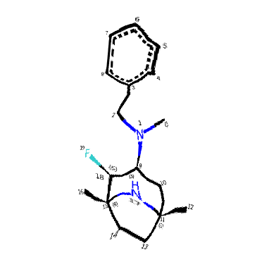 CN(Cc1ccccc1)[C@H]1C[C@]2(C)CC[C@@](C)(N2)[C@H]1F